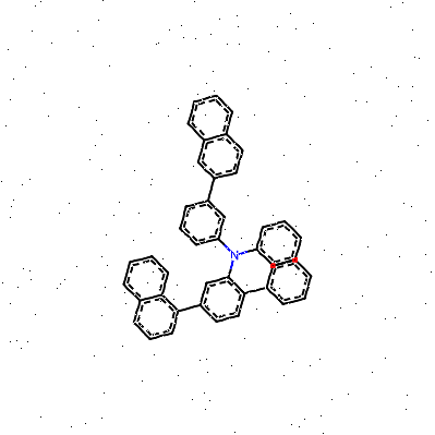 c1ccc(-c2ccc(-c3cccc4ccccc34)cc2N(c2ccccc2)c2cccc(-c3ccc4ccccc4c3)c2)cc1